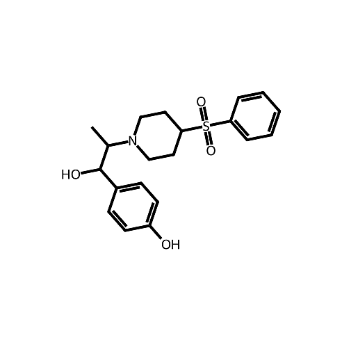 CC(C(O)c1ccc(O)cc1)N1CCC(S(=O)(=O)c2ccccc2)CC1